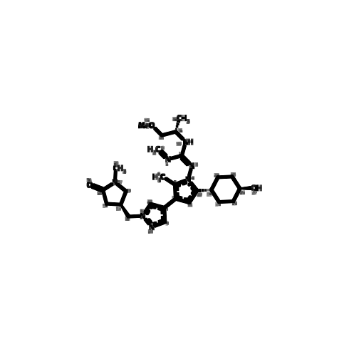 C=N/C(=N\n1c(C)c(-c2cnn(C[C@H]3CC(=O)N(C)C3)c2)cc1[C@H]1CC[C@H](O)CC1)N[C@@H](C)COC